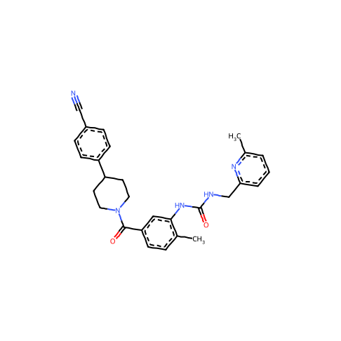 Cc1cccc(CNC(=O)Nc2cc(C(=O)N3CCC(c4ccc(C#N)cc4)CC3)ccc2C)n1